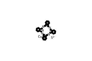 [Cu+2].[S-2].c1ccc2c(c1)-c1nc-2nc2[nH]c(nc3nc(nc4[nH]c(n1)c1ccccc41)-c1ccccc1-3)c1ccccc21